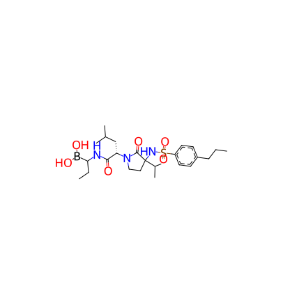 CCCc1ccc(S(=O)(=O)NC2(C(C)C)CCN([C@@H](CC(C)C)C(=O)NC(CC)B(O)O)C2=O)cc1